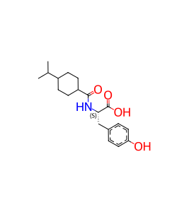 CC(C)C1CCC(C(=O)N[C@@H](Cc2ccc(O)cc2)C(=O)O)CC1